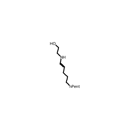 CCCCCCCCC=CNCCO